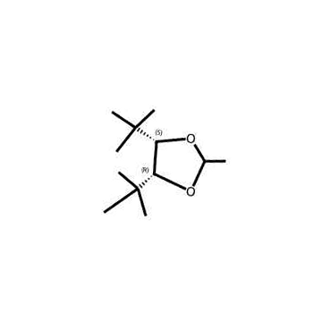 CC1O[C@@H](C(C)(C)C)[C@@H](C(C)(C)C)O1